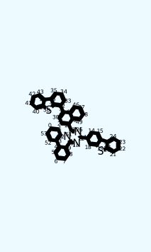 c1ccc(-c2ccccc2-c2nc(-c3ccc4c(c3)sc3ccccc34)nc(-c3ccc(-c4cccc5c4sc4ccccc45)c4ccccc34)n2)cc1